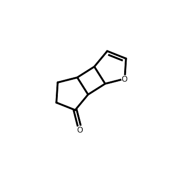 O=C1CCC2C3C=COC3C12